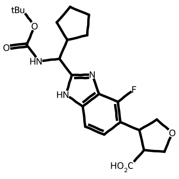 CC(C)(C)OC(=O)NC(c1nc2c(F)c(C3COCC3C(=O)O)ccc2[nH]1)C1CCCC1